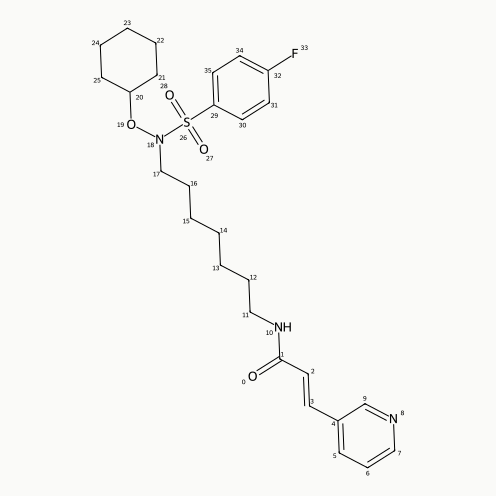 O=C(/C=C/c1cccnc1)NCCCCCCCN(OC1CCCCC1)S(=O)(=O)c1ccc(F)cc1